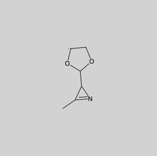 CC1=NC1C1O[CH]CO1